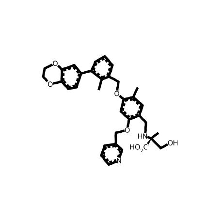 Cc1cc(CN[C@](C)(CO)C(=O)O)c(OCc2cccnc2)cc1OCc1cccc(-c2ccc3c(c2)OCCO3)c1C